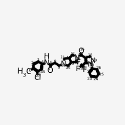 Cc1ccc(NC(=O)CCN2CC3CN(C(=O)c4cnn(-c5ccccc5)c4C(F)(F)F)CC3C2)cc1Cl